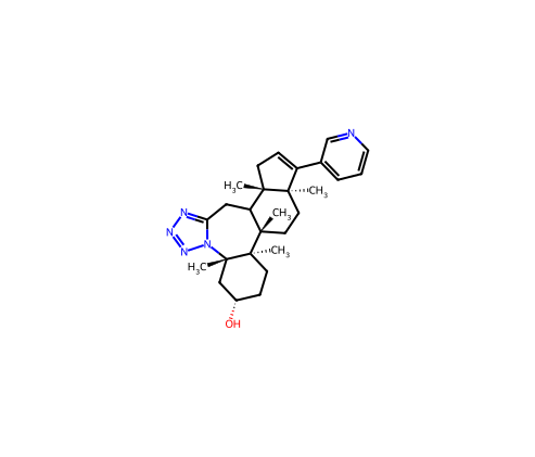 C[C@]12CC[C@H](O)C[C@]1(C)n1nnnc1CC1[C@]2(C)CC[C@]2(C)C(c3cccnc3)=CC[C@@]12C